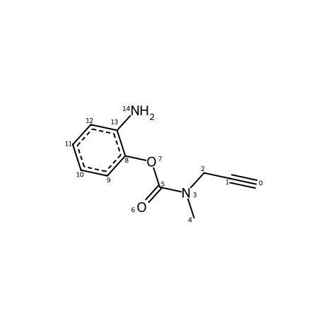 C#CCN(C)C(=O)Oc1ccccc1N